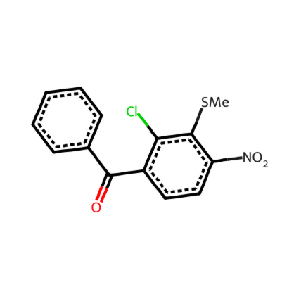 CSc1c([N+](=O)[O-])ccc(C(=O)c2ccccc2)c1Cl